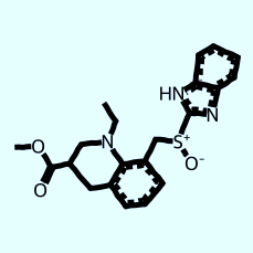 CCN1CC(C(=O)OC)Cc2cccc(C[S+]([O-])c3nc4ccccc4[nH]3)c21